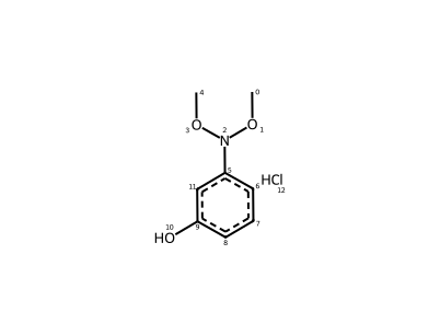 CON(OC)c1cccc(O)c1.Cl